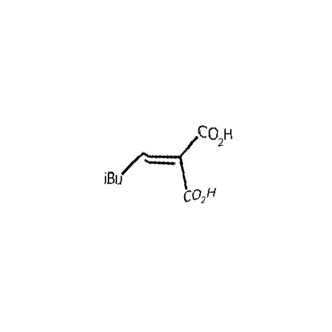 CCC(C)C=C(C(=O)O)C(=O)O